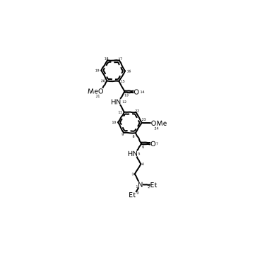 CCN(CC)CCNC(=O)c1ccc(NC(=O)c2ccccc2OC)cc1OC